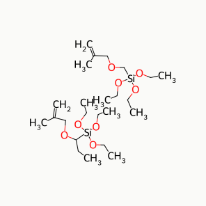 C=C(C)COC(CC)[Si](OCC)(OCC)OCC.C=C(C)COC[Si](OCC)(OCC)OCC